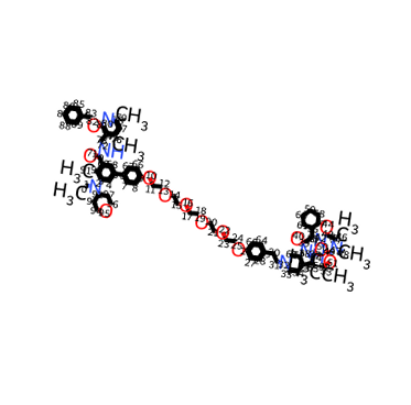 CCN(c1cc(-c2ccc(OCCOCCOCCOCCOCCOc3ccc(CCN4CCC5CCN(C(=O)[C@@H](NC(=O)[C@H](C)N(C)C(=O)OC(C)(C)C)C6CCCCC6)C5C4)cc3)cc2)cc(C(=O)NCc2c(C)cc(C)nc2OCc2ccccc2)c1C)C1CCOCC1